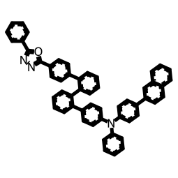 c1ccc(-c2nnc(-c3ccc(-c4ccccc4-c4ccccc4-c4ccc(N(c5ccccc5)c5ccc(-c6ccc7ccccc7c6)cc5)cc4)cc3)o2)cc1